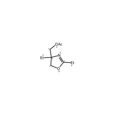 CCC1=NC(CC)(COC(C)=O)CO1